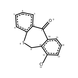 O=C1c2ccccc2SCc2c(Cl)cccc21